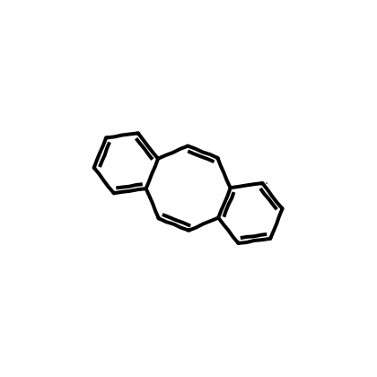 [c]1cccc2c1C=Cc1ccccc1C=C2